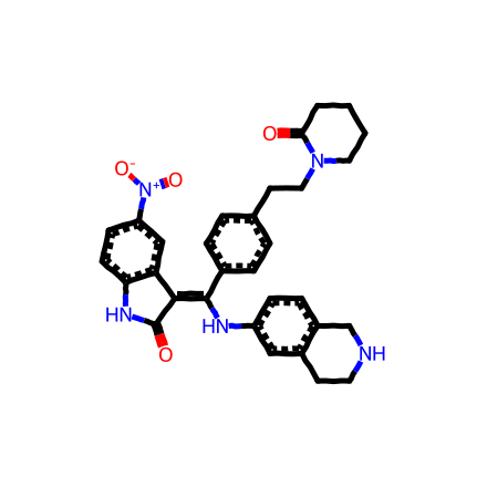 O=C1Nc2ccc([N+](=O)[O-])cc2/C1=C(/Nc1ccc2c(c1)CCNC2)c1ccc(CCN2CCCCC2=O)cc1